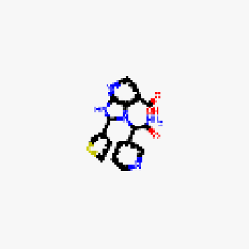 NC(=O)C(c1cccnc1)N1c2c(C(=O)O)ccnc2NC1c1ccsc1